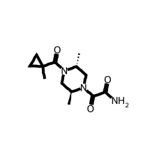 C[C@@H]1CN(C(=O)C(N)=O)[C@@H](C)CN1C(=O)C1(C)CC1